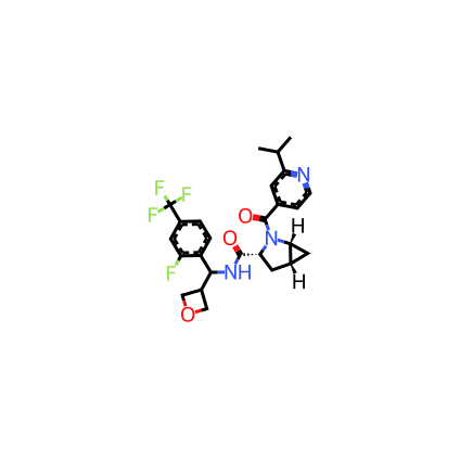 CC(C)c1cc(C(=O)N2[C@@H](C(=O)NC(c3ccc(C(F)(F)F)cc3F)C3COC3)C[C@H]3C[C@H]32)ccn1